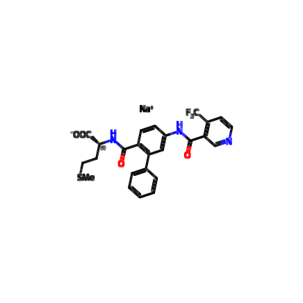 CSCC[C@H](NC(=O)c1ccc(NC(=O)c2cnccc2C(F)(F)F)cc1-c1ccccc1)C(=O)[O-].[Na+]